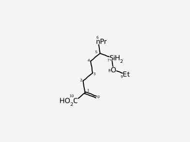 C=C(CCCC(CCC)[SiH2]OCC)C(=O)O